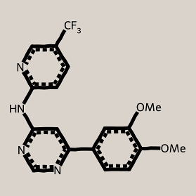 COc1ccc(-c2cc(Nc3ccc(C(F)(F)F)cn3)ncn2)cc1OC